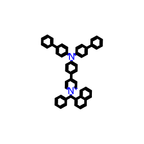 c1ccc(-c2ccc(N(c3ccc(-c4ccccc4)cc3)c3ccc(-c4cc[n+](C(c5ccccc5)c5cccc6ccccc56)cc4)cc3)cc2)cc1